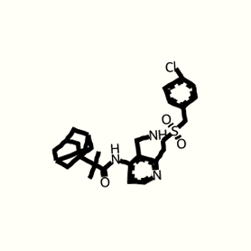 CC(C)(C(=O)Nc1ccnc2c1CNC(S(=O)(=O)Cc1ccc(Cl)cc1)C2)C12CC3CC(CC(C3)C1)C2